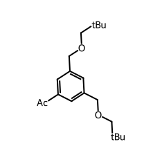 CC(=O)c1cc(COCC(C)(C)C)cc(COCC(C)(C)C)c1